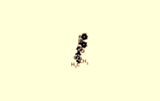 CC(C)CS(=O)(=O)N1CC(N2CCN(c3cccc4c3cnn4-c3ccccc3F)C2=O)C1